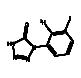 [3H]c1c(I)cccc1-n1nn[nH]c1=O